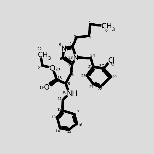 CCCCc1ncc(CC(NCc2ccccc2)C(=O)OCC)n1Cc1ccccc1Cl